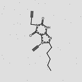 C#CCn1c(=O)[nH]c2nc(CCCCC)n(C#C)c2c1=O